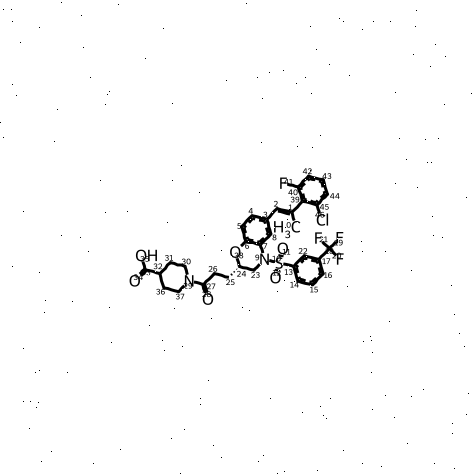 CC(=Cc1ccc2c(c1)N(S(=O)(=O)c1cccc(C(F)(F)F)c1)C[C@H](CCC(=O)N1CCC(C(=O)O)CC1)O2)c1c(F)cccc1Cl